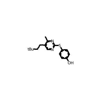 Cc1nc(Sc2ccc(O)cc2)ncc1CCC(C)(C)C